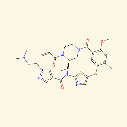 C=CC(=O)N1CCN(C(=O)c2cc(Sc3cnc(NC(=O)c4cnn(CCN(C)C)c4)s3)c(C)cc2OC)C[C@H]1CC